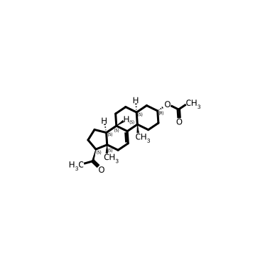 CC(=O)O[C@@H]1CC[C@]2(C)C3=CC[C@]4(C)[C@@H](C(C)=O)CC[C@H]4[C@@H]3CC[C@H]2C1